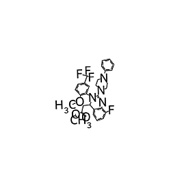 COC(=O)CC1c2cccc(F)c2N=C(N2CCN(c3ccccc3)CC2)N1c1cc(C(F)(F)F)ccc1OC